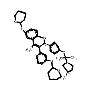 CC1=C(c2cccc(OC3CCCCO3)c2)[C@H](c2ccc(OC(C)(C)N3CC[C@@H](C)C3)cc2)Oc2ccc(OC3CCCCO3)cc21